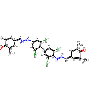 CC(C)(C)C1=CC(=C/N=N/c2cc(Br)c(-c3cc(Br)c(/N=N/C=C4C=C(C(C)(C)C)C(=O)C(C(C)(C)C)=C4)c(Br)c3)c(Br)c2)C=C(C(C)(C)C)C1=O